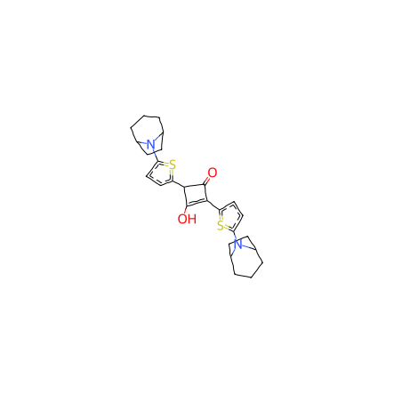 O=C1C(c2ccc(N3C4CCCC3CC4)s2)=C(O)C1c1ccc(N2C3CCCC2CC3)s1